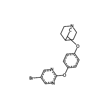 Brc1cnc(Oc2ccc(OC3CN4CCC3CC4)cc2)nc1